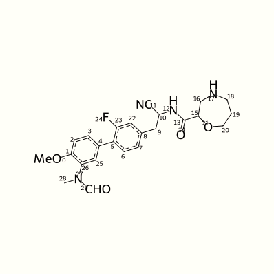 COc1ccc(-c2ccc(CC(C#N)NC(=O)C3CNCCCO3)cc2F)cc1N(C)C=O